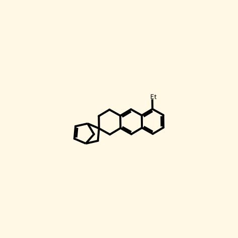 CCc1cccc2cc3c(cc12)CCC1(C3)CC2C=CC1C2